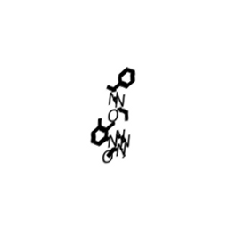 CC/C(=N/N=C(/C)c1ccccc1)OCc1c(C)cccc1-n1nnn(C)c1=O